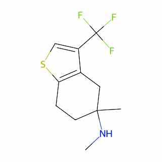 CNC1(C)CCc2scc(C(F)(F)F)c2C1